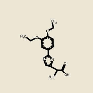 CCOc1ccc(-c2nc(C(C)C(=O)O)cs2)cc1OCC